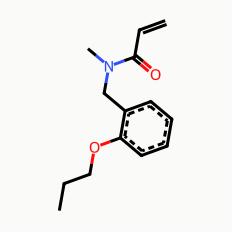 C=CC(=O)N(C)Cc1ccccc1OCCC